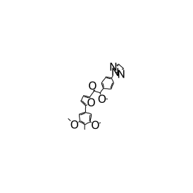 COc1cc(-c2ccc(C(=O)C(OC)c3ccc(-n4nccn4)cc3)o2)cc(OC)c1C